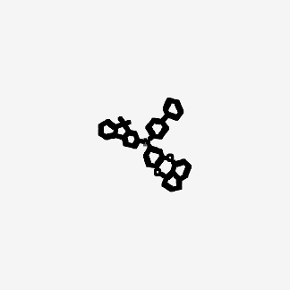 CC1(C)c2ccccc2-c2ccc(N(c3ccc(-c4ccccc4)cc3)c3ccc4c(c3)Oc3cccc5cccc(c35)O4)cc21